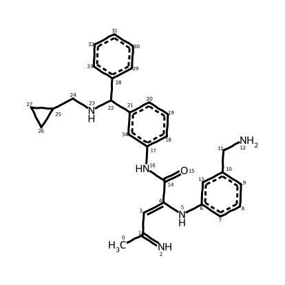 CC(=N)/C=C(\Nc1cccc(CN)c1)C(=O)Nc1cccc(C(NCC2CC2)c2ccccc2)c1